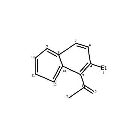 C=C(C)c1c(CC)ccc2ccccc12